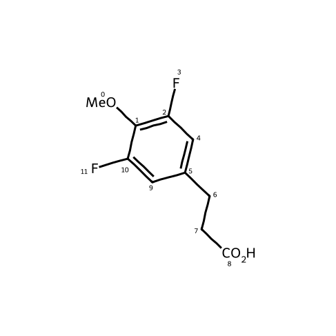 COc1c(F)cc(CCC(=O)O)cc1F